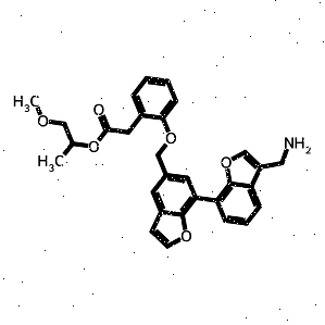 COCC(C)OC(=O)Cc1ccccc1OCc1cc(-c2cccc3c(CN)coc23)c2occc2c1